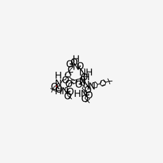 COC(=O)[C@@H]1Cc2ccc(OCCNC(=O)OC(C)(C)C)c(c2)-c2cc(ccc2OCCNC(=O)OC(C)(C)C)[C@H](N(C)C(=O)[C@H](CCNC(=O)OC(C)(C)C)NC(=O)N2CCC(c3ccc(C(C)(C)C)cc3)CC2)C(=O)N[C@@H](C)C(=O)N1